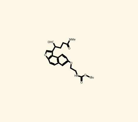 CNC(=O)CCC(C=O)c1coc2ccc3cc(OCCNC(=O)OC(C)(C)C)ccc3c12